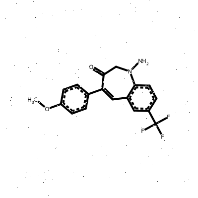 COc1ccc(C2=Cc3cc(C(F)(F)F)ccc3N(N)CC2=O)cc1